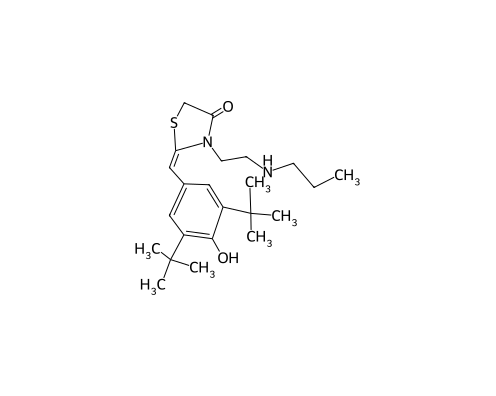 CCCNCCN1C(=O)CSC1=Cc1cc(C(C)(C)C)c(O)c(C(C)(C)C)c1